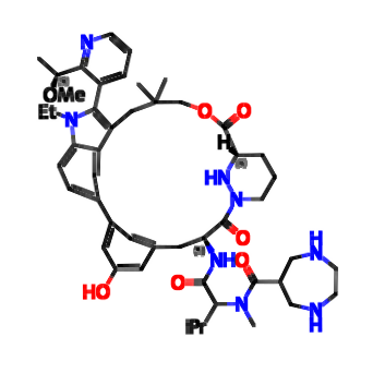 CCn1c(-c2cccnc2[C@H](C)OC)c2c3cc(ccc31)-c1cc(O)cc(c1)C[C@H](NC(=O)C(C(C)C)N(C)C(=O)C1CNCCNC1)C(=O)N1CCC[C@H](N1)C(=O)OCC(C)(C)C2